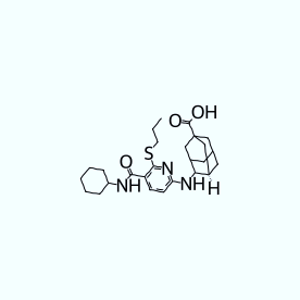 CCCSc1nc(NC2C3CC4C[C@@H]2CC(C(=O)O)(C4)C3)ccc1C(=O)NC1CCCCC1